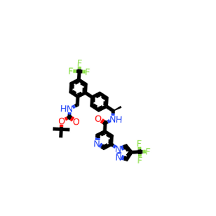 C[C@@H](NC(=O)c1cncc(-n2cc(C(F)(F)F)cn2)c1)c1ccc(-c2cc(C(F)(F)F)ccc2CNC(=O)OC(C)(C)C)cc1